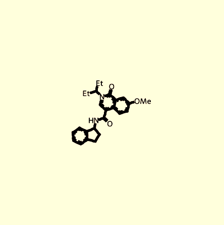 CCC(CC)n1cc(C(=O)NC2CCc3ccccc32)c2ccc(OC)cc2c1=O